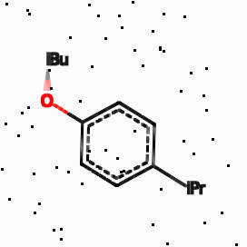 CC[C@@H](C)Oc1ccc(C(C)C)cc1